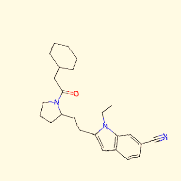 CCn1c(CCC2CCCN2C(=O)CC2CCCCC2)cc2ccc(C#N)cc21